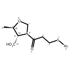 CC(=O)SCCC(=O)N1CO[C@H](C)[C@H]1C(=O)O